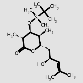 CC(C)=C[C@@H](O)C[C@@H]1OC(=O)[C@H](C)[C@@H](O[Si](C)(C)C(C)(C)C)[C@H]1C